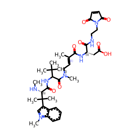 CN[C@H](C(=O)NC(C(=O)N(C)C/C=C(\C)C(=O)N[C@@H](CC(=O)O)C(=O)NCCN1C(=O)C=CC1=O)C(C)(C)C)C(C)(C)c1cn(C)c2ccccc12